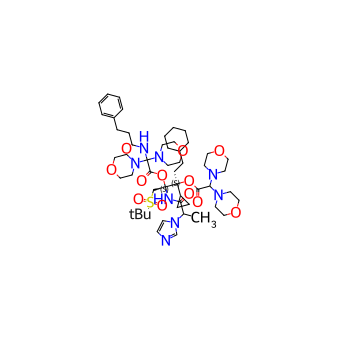 CC(C(=O)N[C@](CS(=O)(=O)C(C)(C)C)(OC(=O)C(NC(=O)CCc1ccccc1)(N1CCOCC1)N1CCOCC1)[C@@](CCC1CCCCC1)(OC(=O)C(N1CCOCC1)N1CCOCC1)C1CC1)n1ccnc1